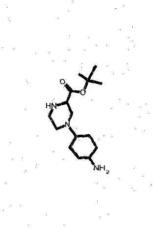 CC(C)(C)OC(=O)C1CN(C2CCC(N)CC2)CCN1